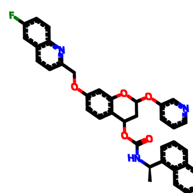 C[C@@H](NC(=O)OC1CC(Oc2cccnc2)Oc2cc(OCc3ccc4cc(F)ccc4n3)ccc21)c1cccc2ccccc12